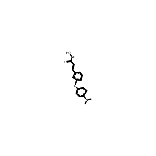 CN(C)c1ccc(Oc2cccc(/C=C/C(=O)NO)c2)cc1